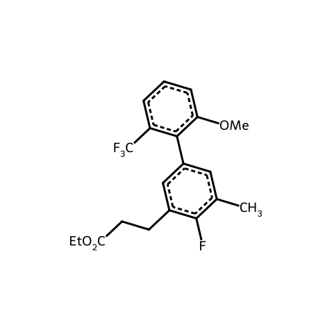 CCOC(=O)CCc1cc(-c2c(OC)cccc2C(F)(F)F)cc(C)c1F